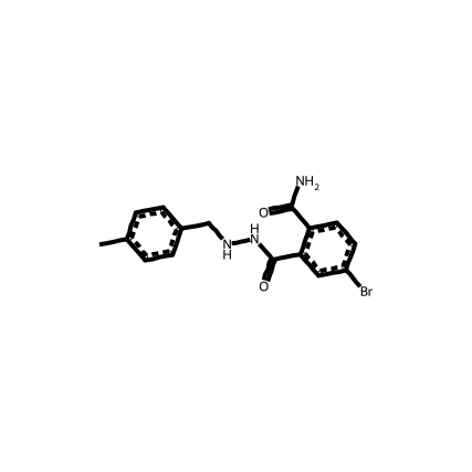 Cc1ccc(CNNC(=O)c2cc(Br)ccc2C(N)=O)cc1